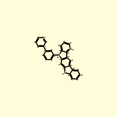 c1cncc(-c2cccc(-n3c4cc5sc6ccccc6c5cc4c4ncccc43)c2)c1